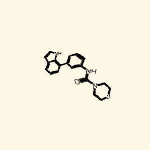 O=C(Nc1cccc(-c2cccc3cc[nH]c23)c1)N1CCOCC1